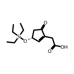 CC[Si](CC)(CC)O[C@H]1C=C(CC(=O)O)C(=O)C1